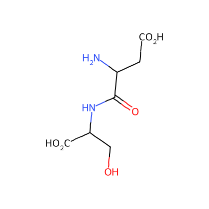 NC(CC(=O)O)C(=O)NC(CO)C(=O)O